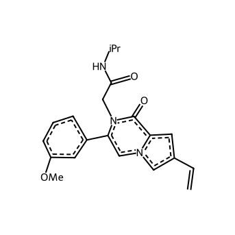 C=Cc1cc2c(=O)n(CC(=O)NC(C)C)c(-c3cccc(OC)c3)cn2c1